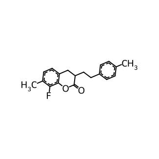 Cc1ccc(CCC2Cc3ccc(C)c(F)c3OC2=O)cc1